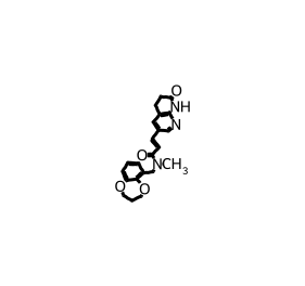 CN(Cc1cccc2c1OCCCO2)C(=O)/C=C/c1cnc2c(c1)CCC(=O)N2